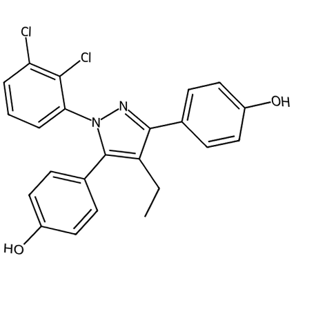 CCc1c(-c2ccc(O)cc2)nn(-c2cccc(Cl)c2Cl)c1-c1ccc(O)cc1